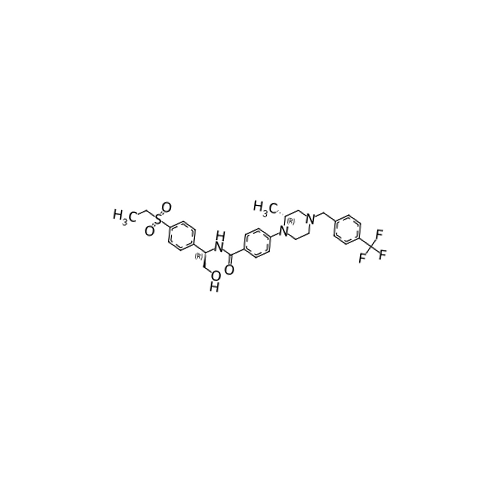 CCS(=O)(=O)c1ccc([C@H](CO)NC(=O)c2ccc(N3CCN(Cc4ccc(C(F)(F)F)cc4)C[C@H]3C)cc2)cc1